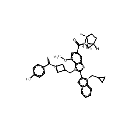 COc1cc(C(=O)N2C[C@H]3CC[C@@H]2[C@@H]3N)cc2nc(-c3cc4ccccc4n3CC3CC3)n(CC3CN(C(=O)c4ccc(O)cc4)C3)c12